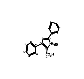 CCn1c(-c2ccccc2)cc(-c2ccccc2)c1C(=O)O